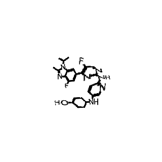 Cc1nc2c(F)cc(-c3nc(Nc4ccc(NC5CCC(O)CC5)cn4)ncc3F)cc2n1C(C)C